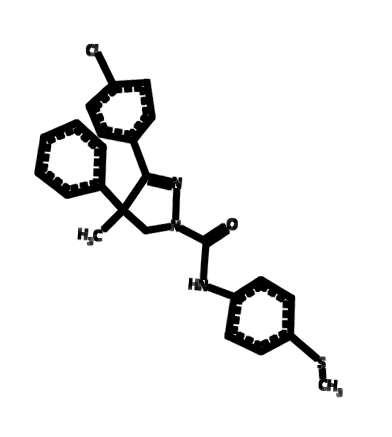 CSc1ccc(NC(=O)N2CC(C)(c3ccccc3)C(c3ccc(Cl)cc3)=N2)cc1